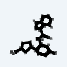 NC1CCC(c2ccc(Cl)cc2NC(=O)c2cnn3cccnc23)C1